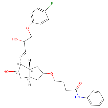 O=C(CCCOC1C[C@H]2C[C@@H](O)[C@H](C=CC(O)COc3ccc(F)cc3)[C@@H]2C1)Nc1ccccc1